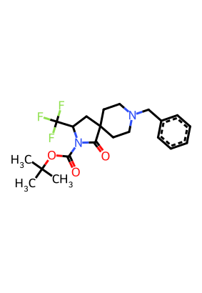 CC(C)(C)OC(=O)N1C(=O)C2(CCN(Cc3ccccc3)CC2)CC1C(F)(F)F